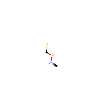 C=NOCF